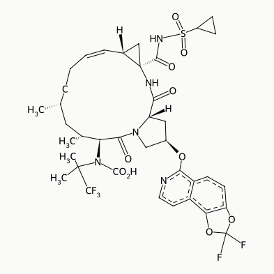 C[C@@H]1CC/C=C\[C@@H]2C[C@@]2(C(=O)NS(=O)(=O)C2CC2)NC(=O)[C@@H]2C[C@@H](Oc3nccc4c5c(ccc34)OC(F)(F)O5)CN2C(=O)[C@@H](N(C(=O)O)C(C)(C)C(F)(F)F)[C@H](C)C1